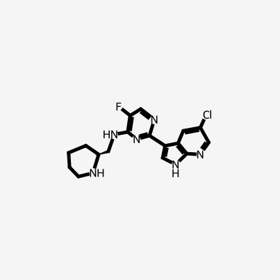 Fc1cnc(-c2c[nH]c3ncc(Cl)cc23)nc1NC[C@@H]1CCCCN1